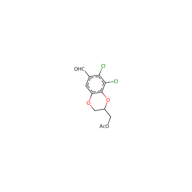 CC(=O)OCC1COc2cc(C=O)c(Cl)c(Cl)c2O1